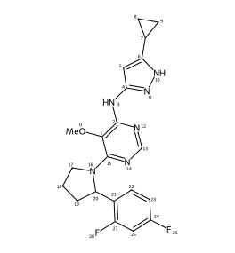 COc1c(Nc2cc(C3CC3)[nH]n2)ncnc1N1CCCC1c1ccc(F)cc1F